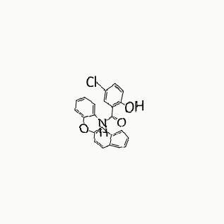 O=C(Nc1ccccc1Oc1ccc2ccccc2c1)c1cc(Cl)ccc1O